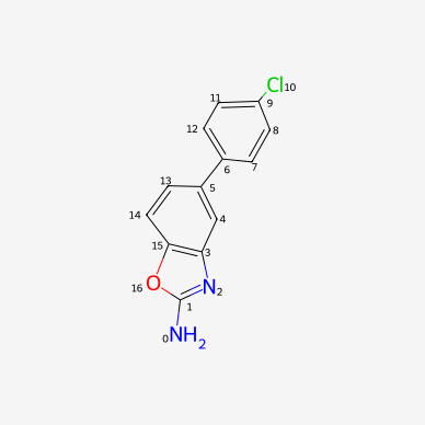 Nc1nc2cc(-c3ccc(Cl)cc3)ccc2o1